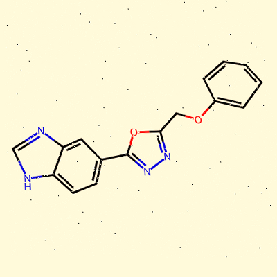 c1ccc(OCc2nnc(-c3ccc4[nH]cnc4c3)o2)cc1